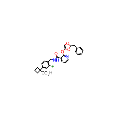 O=C(NCc1ccc(C2(C(=O)O)CCC2)cc1F)c1cccnc1OC1=COC(Cc2ccccc2)O1